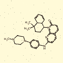 CN1CCN(c2ccc(Nc3ccc4ccc(=O)n(C5CCC(C)(C)C6C=CC=CC56)c4n3)cc2)CC1